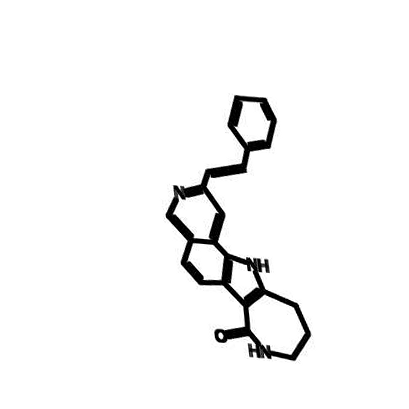 O=C1NCCCc2[nH]c3c(ccc4cnc(C=Cc5ccccc5)cc43)c21